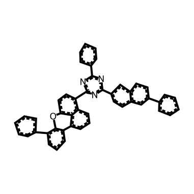 c1ccc(-c2ccc3cc(-c4nc(-c5ccccc5)nc(-c5ccc6c7c(cccc57)-c5cccc(-c7ccccc7)c5O6)n4)ccc3c2)cc1